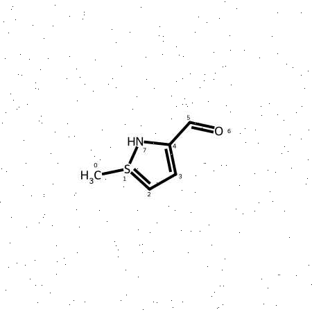 CS1=CC=C(C=O)N1